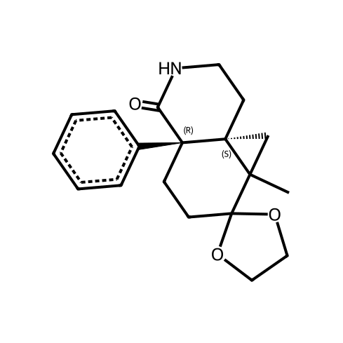 CC12C[C@]13CCNC(=O)[C@@]3(c1ccccc1)CCC21OCCO1